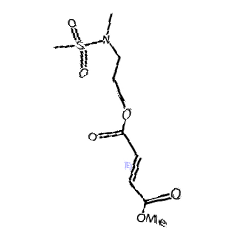 COC(=O)/C=C/C(=O)OCCN(C)S(C)(=O)=O